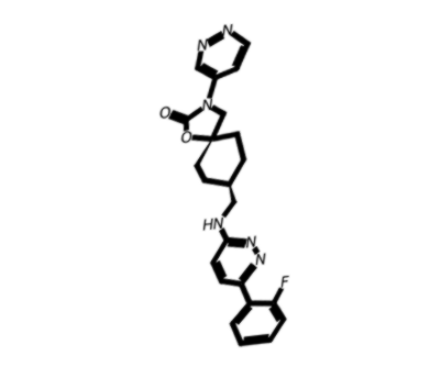 O=C1O[C@]2(CC[C@H](CNc3ccc(-c4ccccc4F)nn3)CC2)CN1c1ccnnc1